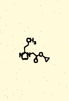 CCCc1nccn1CC(=O)OC1CC1